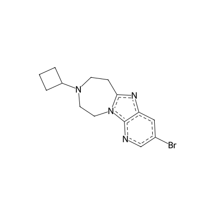 Brc1cnc2c(c1)nc1n2CCN(C2CCC2)CC1